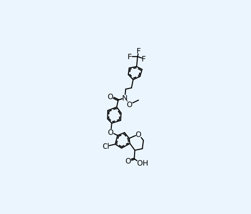 CON(CCc1ccc(C(F)(F)F)cc1)C(=O)c1ccc(Oc2cc3c(cc2Cl)C(C(=O)O)CCO3)cc1